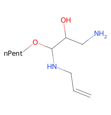 C=CCNC(OCCCCC)C(O)CN